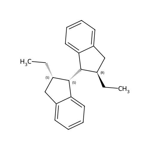 CC[C@@H]1Cc2ccccc2[C]1[C@@H]1c2ccccc2C[C@@H]1CC